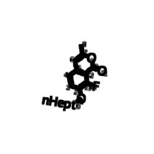 CCCCCCCOc1ccc2cc(C)oc(=O)c2c1F